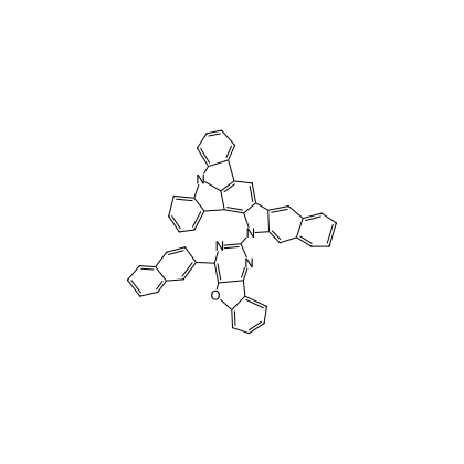 c1ccc2cc(-c3nc(-n4c5cc6ccccc6cc5c5cc6c7ccccc7n7c8ccccc8c(c54)c67)nc4c3oc3ccccc34)ccc2c1